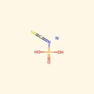 O=P(O)(O)N=C=S.[N]